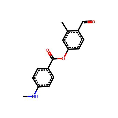 CNc1ccc(C(=O)Oc2ccc(C=O)c(C)c2)cc1